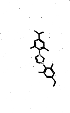 CCc1cc(C)c(N2C=CN(c3c(C)cc(C(C)C)cc3C)C2)c(C)c1